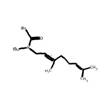 CCC(C)C(=O)N(C/C=C(\C)CCC=C(C)C)C(C)(C)C